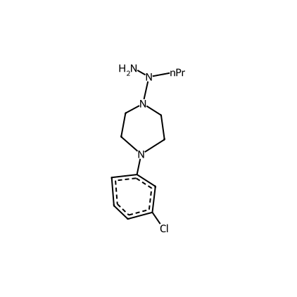 CCCN(N)N1CCN(c2cccc(Cl)c2)CC1